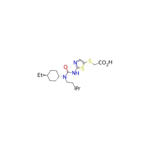 CC[C@H]1CC[C@H](N(CCC(C)C)C(=O)Nc2ncc(SCC(=O)O)s2)CC1